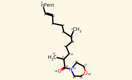 CCCCCC=CCCCC(C)CCCC(C)C(=O)N1CCOCC1